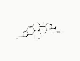 C[C@]12Cc3cn(O)nc3C=C1CC[C@@H]1[C@@H]2[C@@H](O)C[C@@]2(C)[C@H]1CC[C@]2(O)C(=O)CO